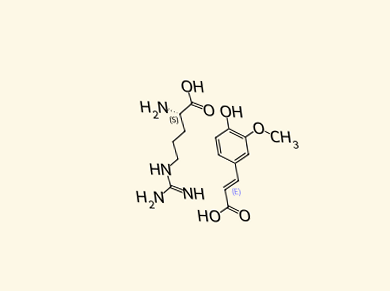 COc1cc(/C=C/C(=O)O)ccc1O.N=C(N)NCCC[C@H](N)C(=O)O